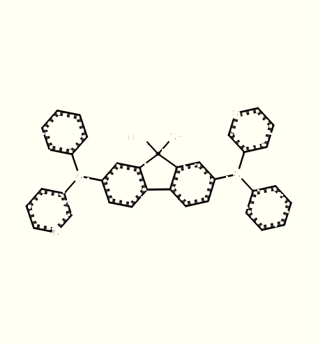 CC1(N)c2cc(N(c3ccccc3)c3cccnc3)ccc2-c2ccc(N(c3ccccc3)c3cccnc3)cc21